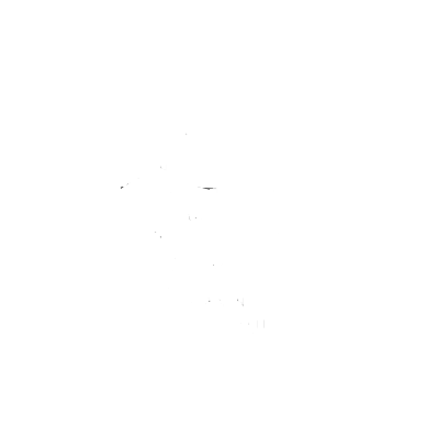 O=C(O)c1cc(F)c2nc(N3C[C@H]4CC[C@H]3C[C@@H](OCc3c(-c5ccccc5OC(F)(F)F)noc3C3CC3)C4)sc2c1